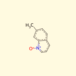 Cc1ccc2ccc[n+]([O-])c2c1